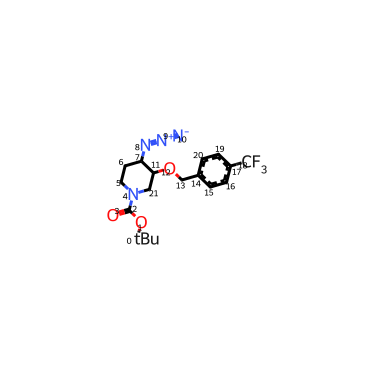 CC(C)(C)OC(=O)N1CCC(N=[N+]=[N-])C(OCc2ccc(C(F)(F)F)cc2)C1